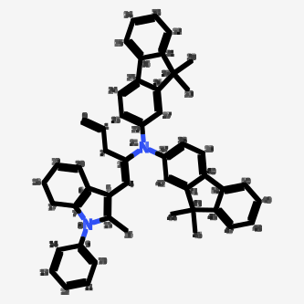 C=CC/C(=C\c1c2c(n(-c3ccccc3)c1C)CCC=C2)N(c1ccc2c(c1)C(C)(C)c1ccccc1-2)c1ccc2c(c1)C(C)(C)c1ccccc1-2